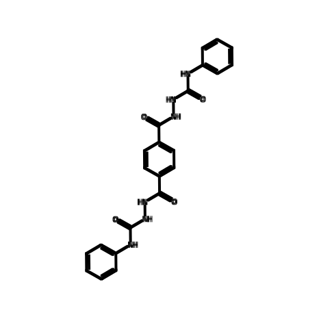 O=C(NNC(=O)c1ccc(C(=O)NNC(=O)Nc2ccccc2)cc1)Nc1ccccc1